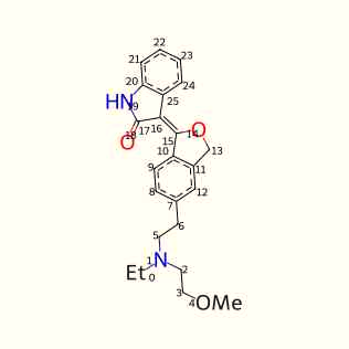 CCN(CCOC)CCc1ccc2c(c1)COC2=C1C(=O)Nc2ccccc21